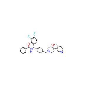 O=C(NC(c1ccc(CN2CCC3(CC2)OCc2ccncc23)cc1)c1ccc(F)c(F)c1)c1ccccc1